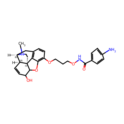 CN1CC[C@]23c4c5ccc(OCCCONC(=O)c6ccc(N)cc6)c4OC2C(O)C=C[C@H]3[C@H]1C5